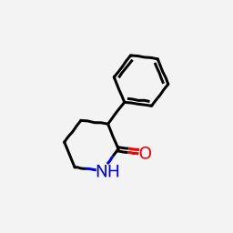 O=C1NCCCC1c1ccccc1